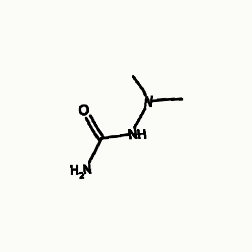 CN(C)NC(N)=O